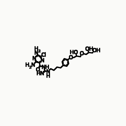 N=C(NCCCCc1ccc(OCC(O)COCC(O)CO)cc1)NC(=O)c1nc(Cl)c(N)nc1N